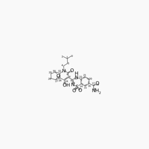 CC(C)CCN1C(=O)C(C2=NS(=O)(=O)c3cc(C(N)=O)ccc3N2)=C(O)C2C3CCC(O3)C21